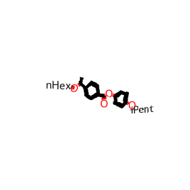 CCCCCCOC(C)c1ccc(C(=O)Oc2ccc(OC(C)CCC)cc2)cc1